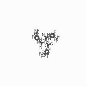 N#CC(=C1N=c2cc(F)c(OC(F)(F)F)cc2=N1)c1nc(C(C#N)=C2N=c3cc(F)c(OC(F)(F)F)cc3=N2)nc(C(C#N)=C2N=c3cc(F)c(OC(F)(F)F)cc3=N2)n1